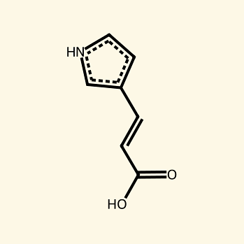 O=C(O)/C=C/c1cc[nH]c1